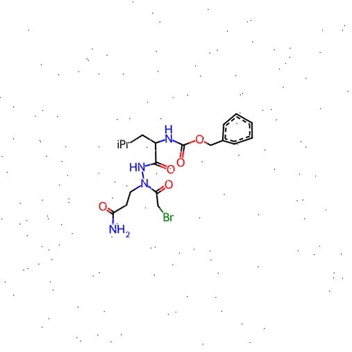 CC(C)CC(NC(=O)OCc1ccccc1)C(=O)NN(CCC(N)=O)C(=O)CBr